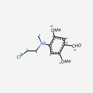 COc1cc(N(C)CCCl)c(OC)cc1C=O